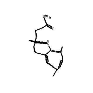 COC(=O)CC1(C)Cc2cc(C)cc(C)c2O1